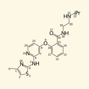 Cc1csc(Nc2cc(Oc3ccccc3C(=O)NCCNC(C)C)ccn2)n1